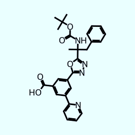 CC(C)(C)OC(=O)NC(C)(Cc1ccccc1)c1nnc(-c2cc(C(=O)O)cc(-c3ccccn3)c2)o1